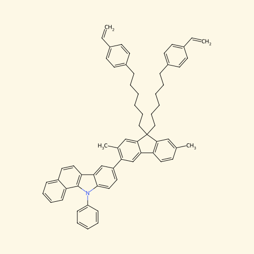 C=Cc1ccc(CCCCCCC2(CCCCCCc3ccc(C=C)cc3)c3cc(C)ccc3-c3cc(-c4ccc5c(c4)c4ccc6ccccc6c4n5-c4ccccc4)c(C)cc32)cc1